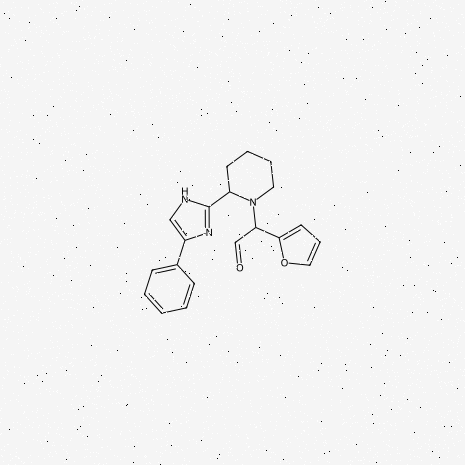 O=CC(c1ccco1)N1CCCCC1c1nc(-c2ccccc2)c[nH]1